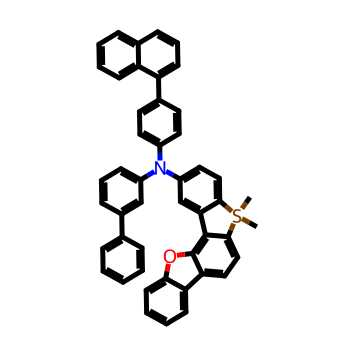 CS1(C)c2ccc(N(c3ccc(-c4cccc5ccccc45)cc3)c3cccc(-c4ccccc4)c3)cc2-c2c1ccc1c2oc2ccccc21